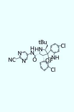 CC(C)(C)C[C@@H]1N[C@@H](C(=O)Nc2cnc(C#N)nc2)[C@@H](c2cccc(Cl)c2F)C12C(=O)Nc1cc(Cl)ccc12